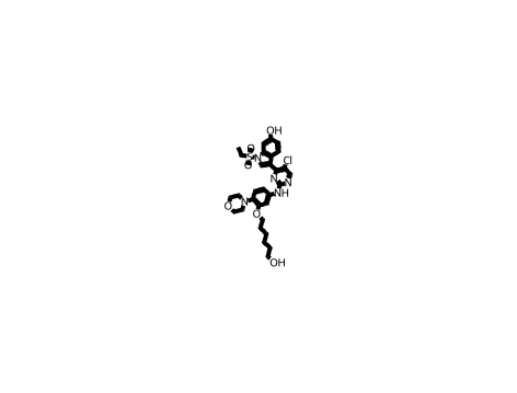 CCS(=O)(=O)n1cc(-c2nc(Nc3ccc(N4CCOCC4)c(OCCCCCCO)c3)ncc2Cl)c2ccc(O)cc21